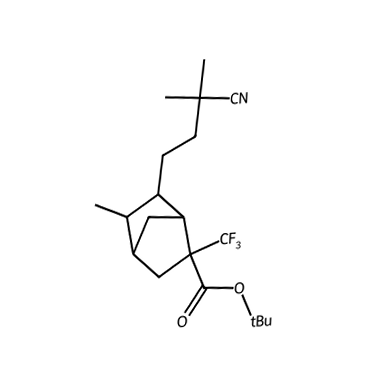 CC1C2CC(C1CCC(C)(C)C#N)C(C(=O)OC(C)(C)C)(C(F)(F)F)C2